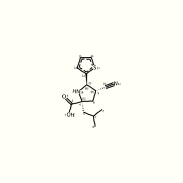 CC(C)C[C@@]1(C(=O)O)C[C@@H](C#N)[C@H](c2cccs2)N1